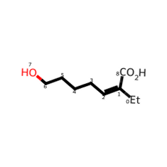 CCC(=CCCCCO)C(=O)O